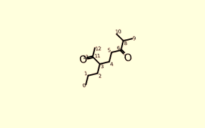 CCCC(CCC(=O)C(C)C)C(C)=O